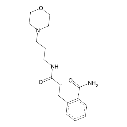 NC(=O)c1ccccc1C[CH]C(=O)NCCCN1CCOCC1